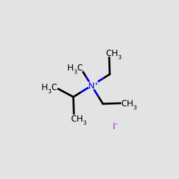 CC[N+](C)(CC)C(C)C.[I-]